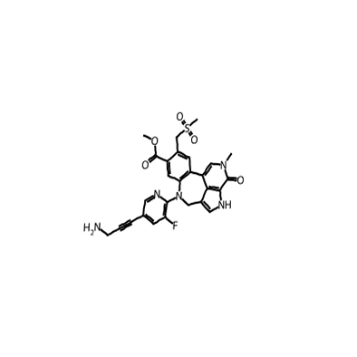 COC(=O)c1cc2c(cc1CS(C)(=O)=O)-c1cn(C)c(=O)c3[nH]cc(c13)CN2c1ncc(C#CCN)cc1F